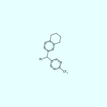 CC(=O)C(c1ccc(C(F)(F)F)nc1)c1ccc2c(c1)CCCC2